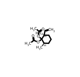 C=C[C@@]1(C)CCC[C@@H](C)C1(OC(C)=O)OC(C)=O